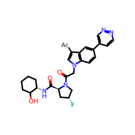 CC(=O)c1cn(CC(=O)N2C[C@H](F)C[C@H]2C(=O)N[C@H]2CCCCC2O)c2ccc(-c3ccnnc3)cc12